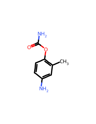 Cc1cc(N)ccc1OC(N)=O